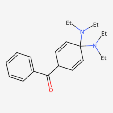 CCN(CC)C1(N(CC)CC)C=CC(C(=O)c2ccccc2)C=C1